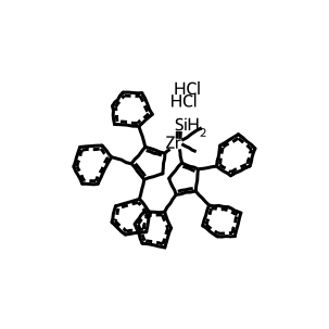 Cl.Cl.[CH3][Zr]([CH3])(=[SiH2])([C]1=C(c2ccccc2)C(c2ccccc2)=C(c2ccccc2)C1)[C]1=C(c2ccccc2)C(c2ccccc2)=C(c2ccccc2)C1